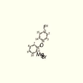 Fc1ccc(Oc2cccc[c]2[Mg][Br])cc1